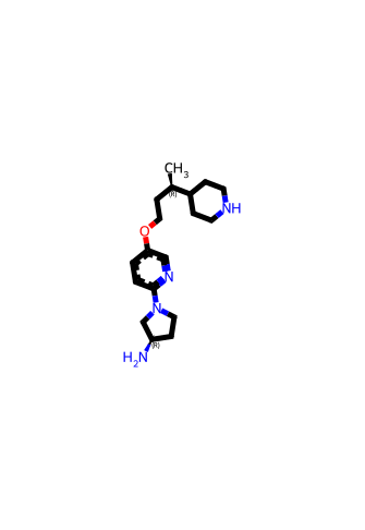 C[C@H](CCOc1ccc(N2CC[C@@H](N)C2)nc1)C1CCNCC1